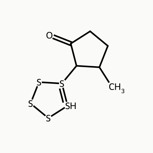 CC1CCC(=O)C1S1=[SH]SSS1